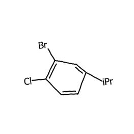 [CH2]C(C)c1ccc(Cl)c(Br)c1